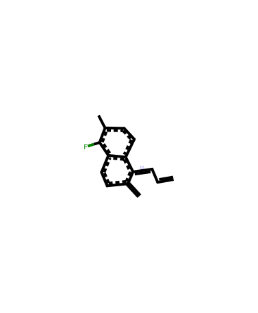 C=C/C=c1\c(=C)ccc2c(F)c(C)ccc12